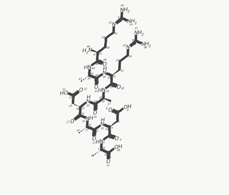 C[C@H](NC(=O)[C@H](CC(=O)O)NC(=O)[C@H](C)NC(=O)[C@H](CC(=O)O)NC(=O)[C@H](C)NC(=O)[C@H](CCCN=C(N)N)NC(=O)[C@H](C)NC(=O)[C@@H](N)CCCN=C(N)N)C(=O)O